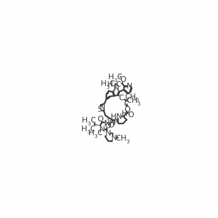 CCn1c(-c2cccnc2[C@H](C)OC)c2c3cc(ccc31)-c1csc(n1)C[C@H](NC(=O)[C@H](C(C)C)N(C)C(=O)N1CCCN(C)C1)C(=O)N1CCC[C@H](N1)C(=O)OCC(C)(C)C2